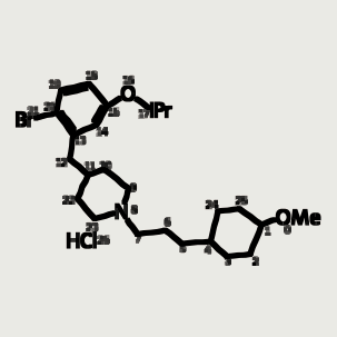 COC1CCC(CCCN2CCC(Cc3cc(OC(C)C)ccc3Br)CC2)CC1.Cl